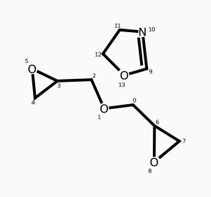 C(OCC1CO1)C1CO1.C1=NCCO1